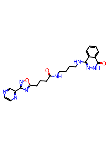 O=C(CCCc1nc(-c2cnccn2)no1)NCCCCNc1n[nH]c(=O)c2ccccc12